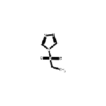 CCS(=O)(=O)n1[c]nnc1